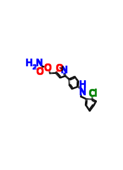 NC(=O)OCc1cc(-c2ccc(NCc3ccccc3Cl)cc2)no1